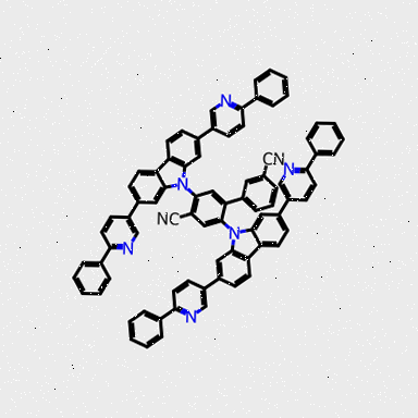 N#Cc1cccc(-c2cc(-n3c4cc(-c5ccc(-c6ccccc6)nc5)ccc4c4ccc(-c5ccc(-c6ccccc6)nc5)cc43)c(C#N)cc2-n2c3cc(-c4ccc(-c5ccccc5)nc4)ccc3c3ccc(-c4ccc(-c5ccccc5)nc4)cc32)c1